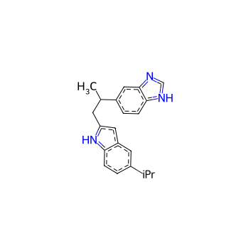 CC(C)c1ccc2[nH]c(CC(C)c3ccc4[nH]cnc4c3)cc2c1